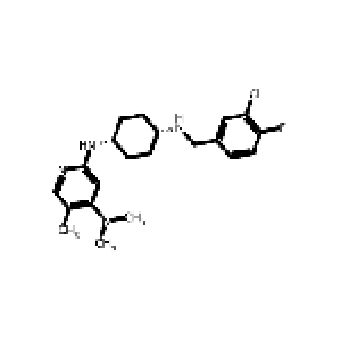 Cc1cnc(N[C@H]2CC[C@@H](NCc3ccc(F)c(Cl)c3)CC2)cc1N(C)C